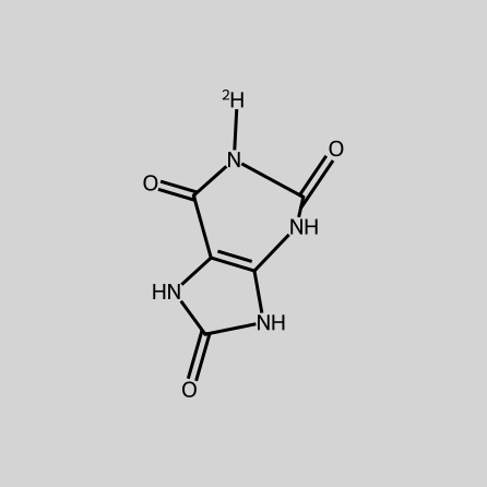 [2H]n1c(=O)[nH]c2[nH]c(=O)[nH]c2c1=O